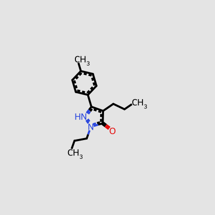 CCCc1c(-c2ccc(C)cc2)[nH]n(CCC)c1=O